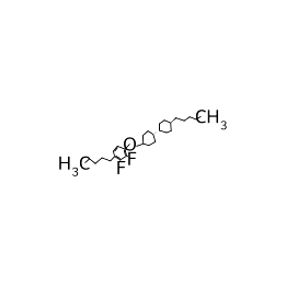 CCCCCc1ccc(OCC2CCC([C@H]3CC[C@H](CCCCC)CC3)CC2)c(F)c1F